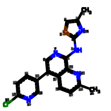 Cc1csc(Nc2ncc(-c3ccc(Cl)nc3)c3ccc(C)nc23)n1